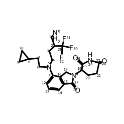 NCC(CCN(CCC1CC1)c1cccc2c1CN(C1CCC(=O)NC1=O)C2=O)C(F)(F)F